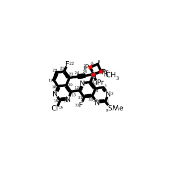 CSc1ncc2c(N3CC[C@@H]3C)nc(-c3nc(Cl)nc4ccc(F)c(C#C[Si](C(C)C)(C(C)C)C(C)C)c34)c(F)c2n1